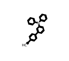 C#Cc1ccc(-c2cccc(N(c3ccccc3)c3ccccc3)c2)cc1